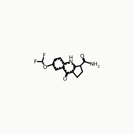 NC(=O)C1CCc2c1[nH]c1ccc(OC(F)F)cc1c2=O